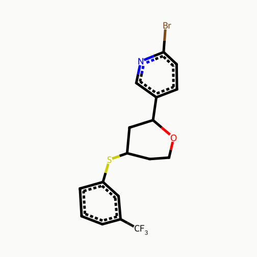 FC(F)(F)c1cccc(SC2CCOC(c3ccc(Br)nc3)C2)c1